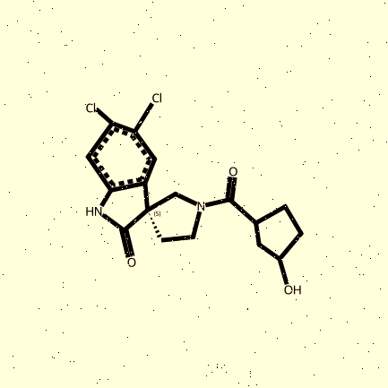 O=C(C1CCC(O)C1)N1CC[C@]2(C1)C(=O)Nc1cc(Cl)c(Cl)cc12